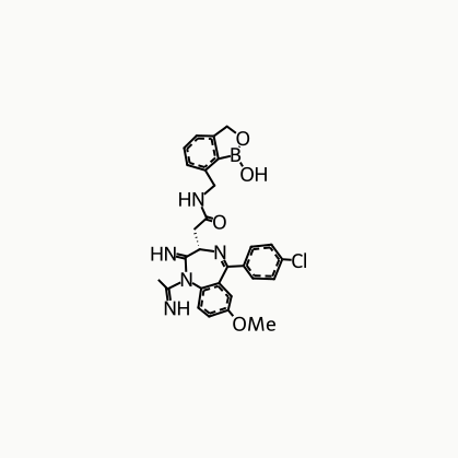 COc1ccc2c(c1)C(c1ccc(Cl)cc1)=N[C@@H](CC(=O)NCc1cccc3c1B(O)OC3)C(=N)N2C(C)=N